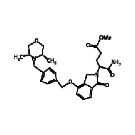 COC(=O)CCC(C(N)=O)N1Cc2c(OCc3ccc(CN4[C@H](C)COC[C@@H]4C)cc3)cccc2C1=O